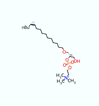 CCCC/C=C\CCCCCCCCCCOC[C@H](CO)OP(=O)([O-])OCC[N+](C)(C)C